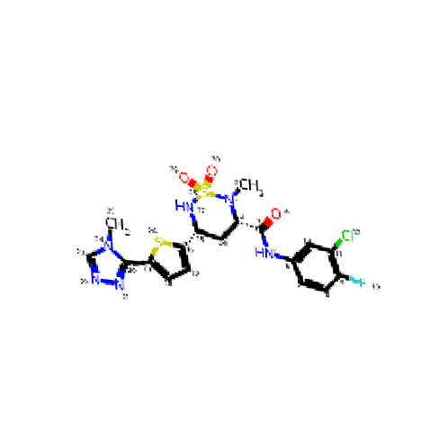 CN1[C@H](C(=O)Nc2ccc(F)c(Cl)c2)C[C@H](c2ccc(-c3nncn3C)s2)NS1(=O)=O